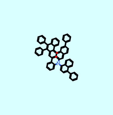 c1ccc(-c2ccc3cc(N(c4ccccc4-c4ccc5c(c4)c(-c4ccccc4)c(-c4ccccc4)c4ccccc45)c4ccc(-c5ccccc5)c5ccccc45)ccc3c2)cc1